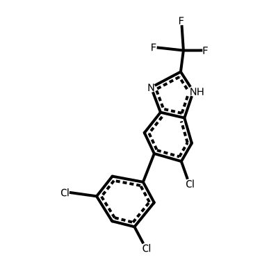 FC(F)(F)c1nc2cc(-c3cc(Cl)cc(Cl)c3)c(Cl)cc2[nH]1